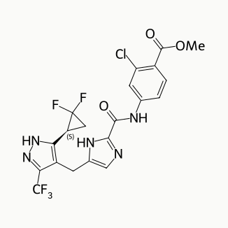 COC(=O)c1ccc(NC(=O)c2ncc(Cc3c(C(F)(F)F)n[nH]c3[C@@H]3CC3(F)F)[nH]2)cc1Cl